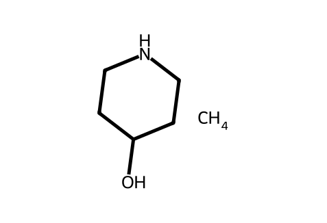 C.OC1CCNCC1